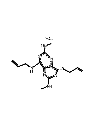 C=CCNc1nc(NC)nc2c(NCC=C)nc(NC)nc12.Cl